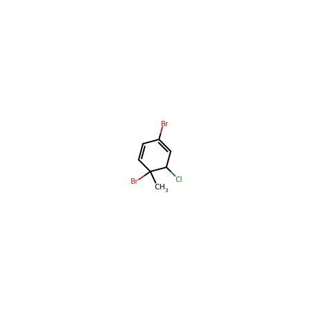 CC1(Br)C=CC(Br)=CC1Cl